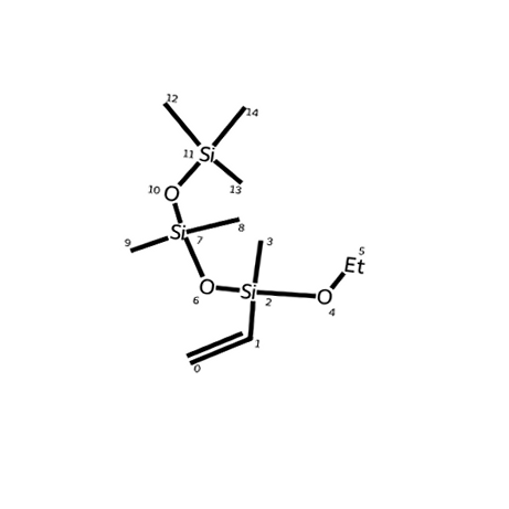 C=C[Si](C)(OCC)O[Si](C)(C)O[Si](C)(C)C